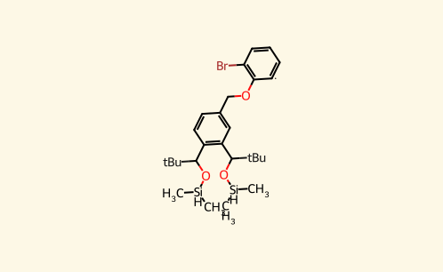 C[SiH](C)OC(c1ccc(COc2[c]cccc2Br)cc1C(O[SiH](C)C)C(C)(C)C)C(C)(C)C